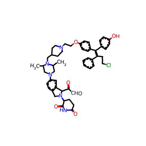 CC1CN(c2ccc3c(c2)C(C(=O)C=O)N(C2CCC(=O)NC2=O)C3)CC(C)N1CC1CCN(CCOc2ccc(C(=C(CCCl)c3ccccc3)c3ccc(O)cc3)cc2)CC1